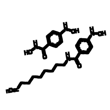 CCCCCCCCCCCCCCCCCCNC(=O)c1ccc(NO)cc1.O=C(NO)c1ccc(NO)cc1